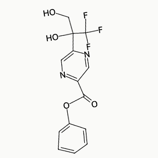 O=C(Oc1ccccc1)c1cnc(C(O)(CO)C(F)(F)F)cn1